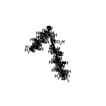 N=C(N)NC(NC(=O)C(NC(=N)N)NC(=O)C(NC(=N)N)NC(=O)C(NC(=N)N)NC(=O)C(NC(=O)C(O)NC(=O)CN(CCN(CC(=O)O)CC(=O)NC(O)C(=O)NC(C(=O)NC(NC(=N)N)C(=O)NC(NC(=N)N)C(=O)NC(NC(=N)N)C(=O)NC(NC(=N)N)C(=O)NC(N)C(N)=O)c1ccccc1)CC(=O)O)c1ccccc1)C(=O)NC(N)C(N)=O